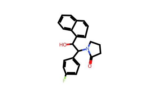 O=C1CCCN1C(c1ccc(F)cc1)C(O)c1cccc2ccccc12